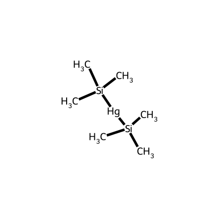 C[Si](C)(C)[Hg][Si](C)(C)C